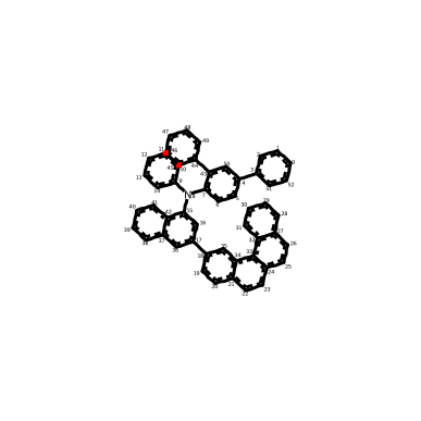 c1ccc(-c2ccc(N(c3ccccc3)c3cc(-c4ccc5ccc6ccc7ccccc7c6c5c4)cc4ccccc34)c(-c3ccccc3)c2)cc1